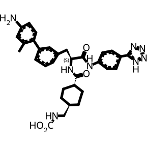 Cc1cc(N)ccc1-c1cccc(C[C@H](NC(=O)[C@H]2CC[C@H](CNC(=O)O)CC2)C(=O)Nc2ccc(-c3nnn[nH]3)cc2)c1